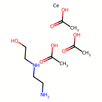 CC(=O)O.CC(=O)O.CC(=O)O.NCCNCCO.[Ce]